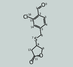 O=Cc1ccc(CSC2COC(=O)C2)cc1Cl